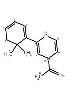 CC1(C)CC=CC=C1C1=CN(C(=O)C(F)(F)F)C=CO1